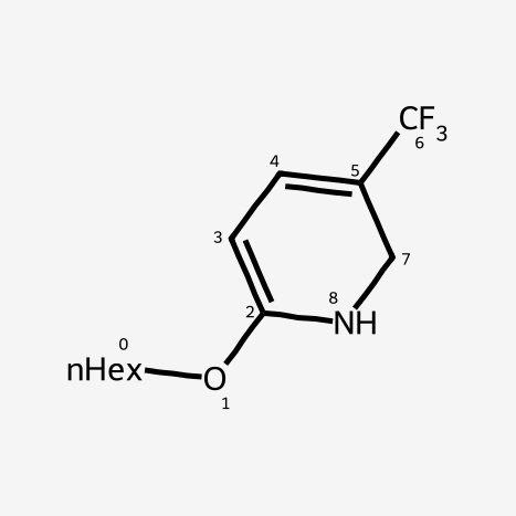 CCCCCCOC1=CC=C(C(F)(F)F)CN1